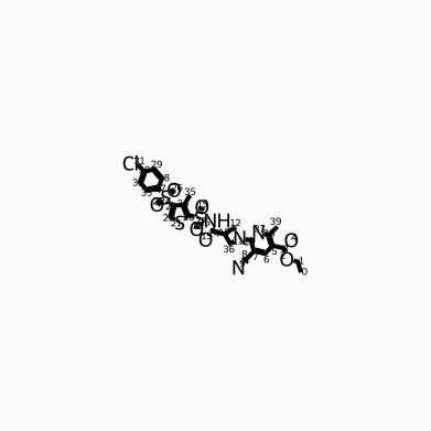 CCOC(=O)c1cc(C#N)c(N2CC(C(=O)NS(=O)(=O)c3scc(S(=O)(=O)c4ccc(Cl)cc4)c3C)C2)nc1C